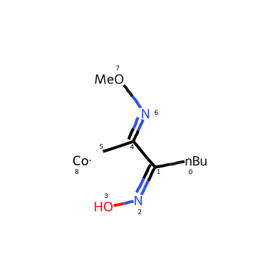 CCCCC(=NO)C(C)=NOC.[Co]